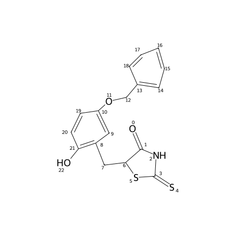 O=C1NC(=S)SC1Cc1cc(OCc2ccccc2)ccc1O